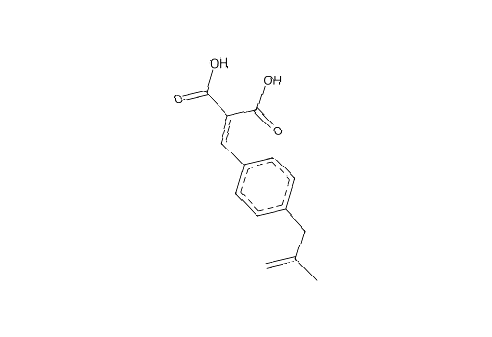 C=C(C)Cc1ccc(C=C(C(=O)O)C(=O)O)cc1